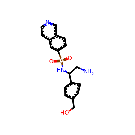 NCC(NS(=O)(=O)c1ccc2cnccc2c1)c1ccc(CO)cc1